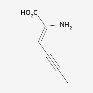 CC#CC=C(N)C(=O)O